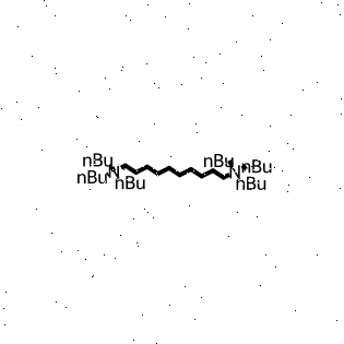 CCCC[N+](CCCC)(CCCC)CCCCCCCCCC[N+](CCCC)(CCCC)CCCC